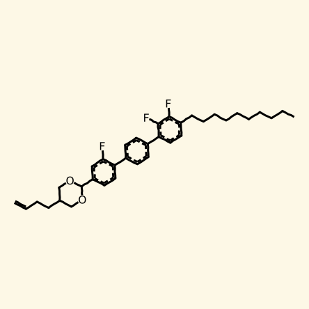 C=CCCC1COC(c2ccc(-c3ccc(-c4ccc(CCCCCCCCCC)c(F)c4F)cc3)c(F)c2)OC1